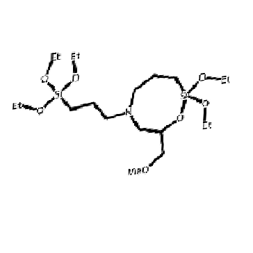 CCO[Si](CCCN1CCC[Si](OCC)(OCC)OC(COC)C1)(OCC)OCC